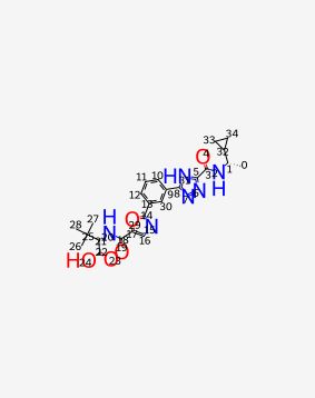 C[C@H](NC(=O)c1nnc(-c2cccc(-c3ncc(C(=O)N[C@H](C(=O)O)C(C)(C)C)o3)c2)[nH]1)C1CC1